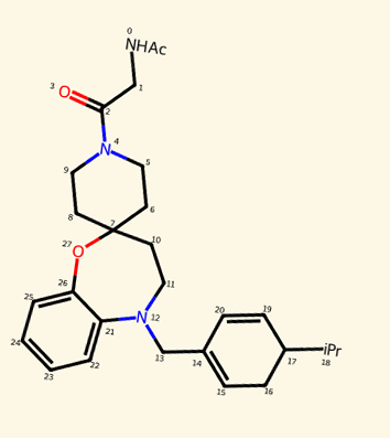 CC(=O)NCC(=O)N1CCC2(CC1)CCN(CC1=CCC(C(C)C)C=C1)c1ccccc1O2